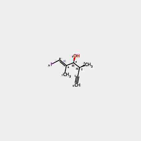 C#C[C@H](C)[C@H](O)/C(C)=C/I